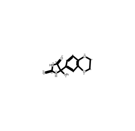 CCCC1(c2ccc3c(c2)OCCO3)NC(=O)NC1=O